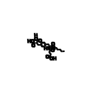 CCCCCNC(=O)[C@H](Cc1ccc(CC(C(=O)O)C(=O)O)cc1)NC(=O)CCC(=O)O